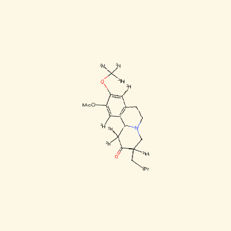 [2H]c1c2c(c([2H])c(OC)c1OC([2H])([2H])[2H])C1N(CC2)CC([2H])(CC(C)C)C(=O)C1([2H])[2H]